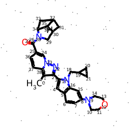 Cc1c(-c2cc3ccc(N4CCOCC4)cc3n2CC2CC2)nn2cc(C(=O)N3CC4CC5CC3[C@H]54)ccc12